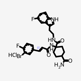 Cl.NC(=O)C1CCC(NC(=O)/C=C/c2ccc(F)c(Br)c2)(C(=O)NCCc2c[nH]c3ccc(F)cc23)CC1